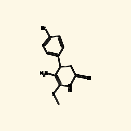 CSC1=C(N)C(c2ccc(Br)cc2)CC(=O)N1